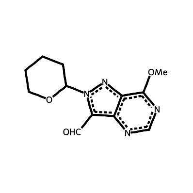 COc1ncnc2c(C=O)n(C3CCCCO3)nc12